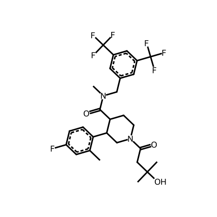 Cc1cc(F)ccc1C1CN(C(=O)CC(C)(C)O)CCC1C(=O)N(C)Cc1cc(C(F)(F)F)cc(C(F)(F)F)c1